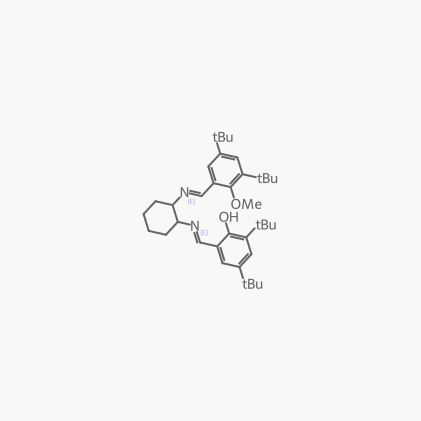 COc1c(/C=N/C2CCCCC2/N=C/c2cc(C(C)(C)C)cc(C(C)(C)C)c2O)cc(C(C)(C)C)cc1C(C)(C)C